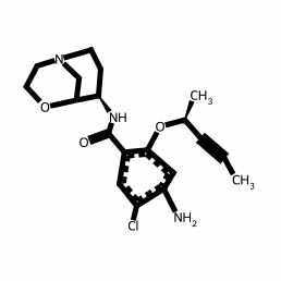 CC#C[C@H](C)Oc1cc(N)c(Cl)cc1C(=O)N[C@@H]1CCN2CCOC1C2